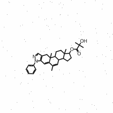 CC1=CC2C(CCC3(C)C(OC(=O)C(C)(C)O)CCC23)C2(C)Cc3cnn(-c4ccccc4)c3C=C12